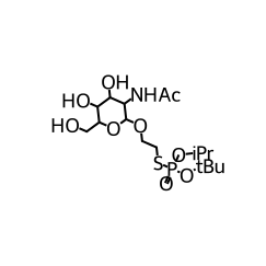 CC(=O)NC1C(OCCSP(=O)(OC(C)C)OC(C)(C)C)OC(CO)C(O)C1O